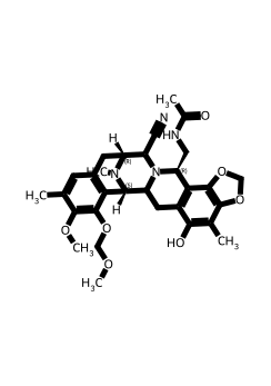 COCOc1c(OC)c(C)cc2c1[C@H]1C3Cc4c(O)c(C)c5c(c4[C@H](CNC(C)=O)N3C(C#N)[C@@H](C2)N1C)OCO5